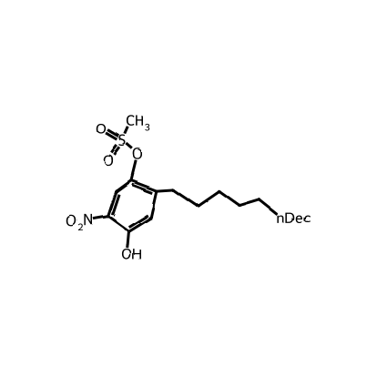 CCCCCCCCCCCCCCCc1cc(O)c([N+](=O)[O-])cc1OS(C)(=O)=O